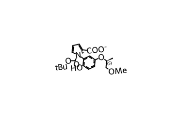 COC[C@H](C)Oc1ccc(O)c([N+]2(C(=O)OC(C)(C)C)C=CC=C2C(=O)[O-])c1